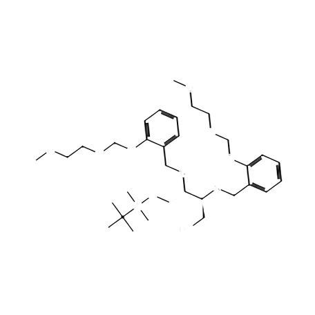 COCCOCOc1ccccc1CN[C@@H](CO)[C@H](CO[Si](C)(C)C(C)(C)C)NCc1ccccc1OCOCCOC